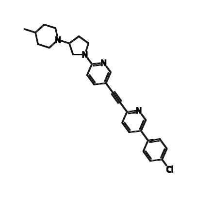 CC1CCN(C2CCN(c3ccc(C#Cc4ccc(-c5ccc(Cl)cc5)cn4)cn3)C2)CC1